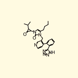 CCCCc1cn(C2C(=O)C2C(C)C)c(=O)n1Cc1cnccc1-c1ccccc1-c1nnn[nH]1